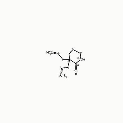 C=CCC1(CC=C)CCCNC1=O